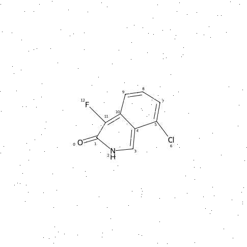 O=c1[nH]cc2c(Cl)cccc2c1F